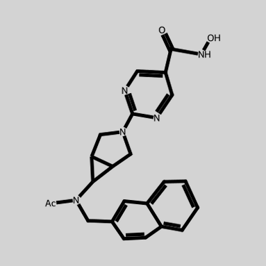 CC(=O)N(Cc1ccc2ccccc2c1)C1C2CN(c3ncc(C(=O)NO)cn3)CC21